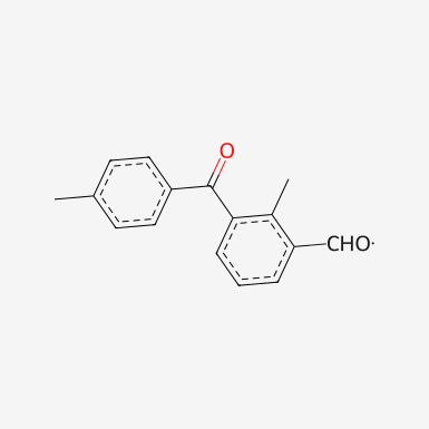 Cc1ccc(C(=O)c2cccc([C]=O)c2C)cc1